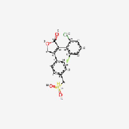 O=C1OCC(c2ccc(C[SH](=O)=O)cc2)=C1c1c(F)cccc1Cl